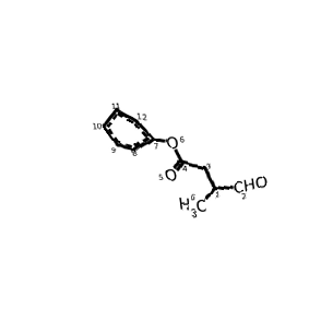 CC(C=O)CC(=O)Oc1ccccc1